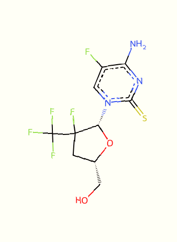 Nc1nc(=S)n([C@@H]2O[C@H](CO)CC2(F)C(F)(F)F)cc1F